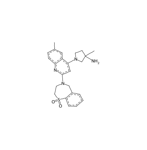 Cc1ccc2nc(N3CCS(=O)(=O)c4ccccc4C3)cc(N3CCC(C)(N)C3)c2c1